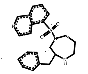 O=S(=O)(c1cccc2cnccc12)N1CCCNC(Cc2ccccc2)C1